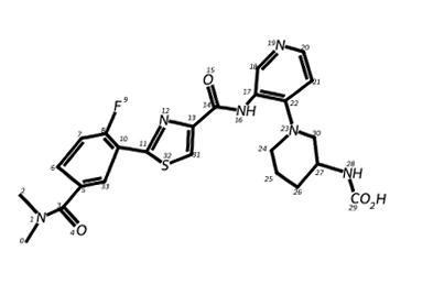 CN(C)C(=O)c1ccc(F)c(-c2nc(C(=O)Nc3cnccc3N3CCCC(NC(=O)O)C3)cs2)c1